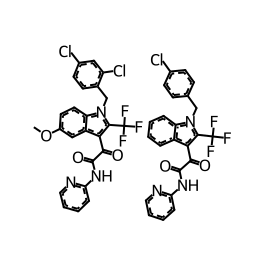 COc1ccc2c(c1)c(C(=O)C(=O)Nc1ccccn1)c(C(F)(F)F)n2Cc1ccc(Cl)cc1Cl.O=C(Nc1ccccn1)C(=O)c1c(C(F)(F)F)n(Cc2ccc(Cl)cc2)c2ccccc12